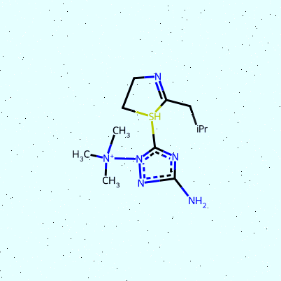 CC(C)CC1=NCC[SH]1c1nc(N)nn1[N+](C)(C)C